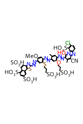 COc1cc(N=Nc2cc(OCCCS(=O)(=O)O)c(N=Nc3c(C)c(C#N)c4nc5ccc(Cl)c(S(=O)(=O)O)c5n4c3O)cc2C)c(SCCCS(=O)(=O)O)cc1N=Nc1nc2c(S(=O)(=O)O)cc3c(S(=O)(=O)O)cc(S(=O)(=O)O)cc3c2s1